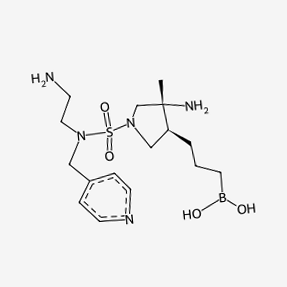 C[C@]1(N)CN(S(=O)(=O)N(CCN)Cc2ccncc2)C[C@@H]1CCCB(O)O